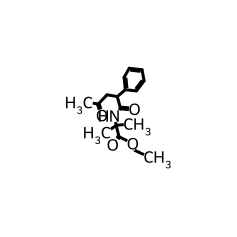 CCOC(=O)C(C)(C)NC(=O)C(CC(C)=O)c1ccccc1